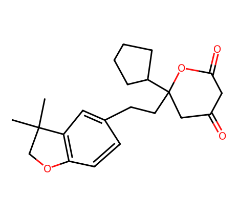 CC1(C)COc2ccc(CCC3(C4CCCC4)CC(=O)CC(=O)O3)cc21